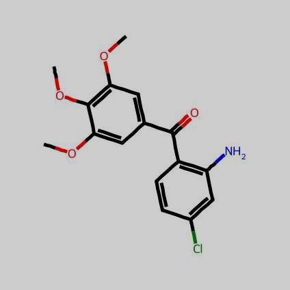 COc1cc(C(=O)c2ccc(Cl)cc2N)cc(OC)c1OC